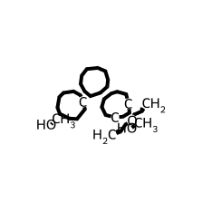 C1CCCCCCCCC1.C1CCCCCCCCC1.C1CCCCCCCCC1.C=CCOCC=C.CO.CO